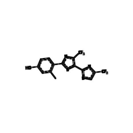 Cc1cc(O)ccc1-c1nc(C(F)(F)F)c(-c2nc(C(F)(F)F)cs2)s1